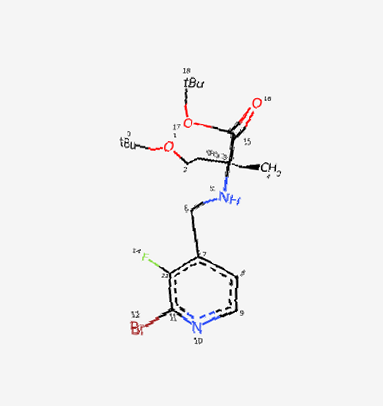 CC(C)(C)OC[C@@](C)(NCc1ccnc(Br)c1F)C(=O)OC(C)(C)C